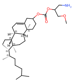 COCC(CN)OC(=O)OC1CC[C@]2(C)C(=CC[C@@H]3[C@H]4CC[C@@H]([C@@H](C)CCCC(C)C)[C@]4(C)CC[C@H]32)C1